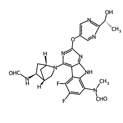 C[C@@H](O)c1ncc(Oc2nc(N3C[C@H]4C[C@@H]3C[C@@H]4NC=O)c3c(n2)[nH]c2c(N(C)C=O)cc(F)c(F)c23)cn1